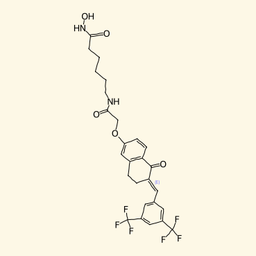 O=C(CCCCCNC(=O)COc1ccc2c(c1)CC/C(=C\c1cc(C(F)(F)F)cc(C(F)(F)F)c1)C2=O)NO